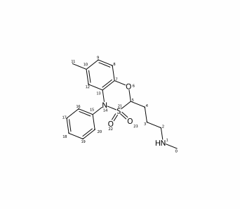 CNCCCC1Oc2ccc(C)cc2N(c2ccccc2)S1(=O)=O